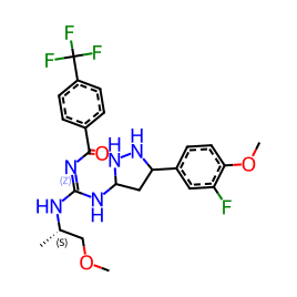 COC[C@H](C)N/C(=N/C(=O)c1ccc(C(F)(F)F)cc1)NC1CC(c2ccc(OC)c(F)c2)NN1